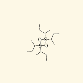 CCC(C)[Si]1(C(C)CC)O[Si](C(C)CC)(C(C)CC)O1